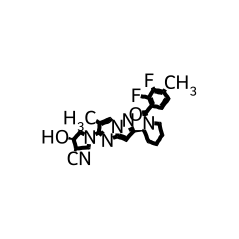 Cc1cn2nc([C@@H]3CCCCN3C(=O)c3ccc(C)c(F)c3F)cc2nc1N1C[C@@H](C#N)[C@@H](O)C1